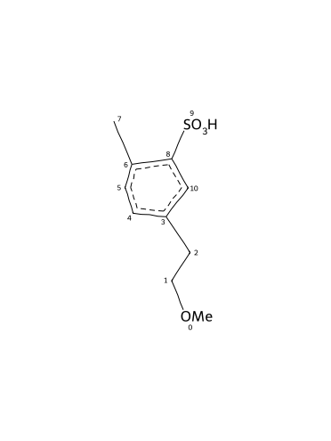 COCCc1ccc(C)c(S(=O)(=O)O)c1